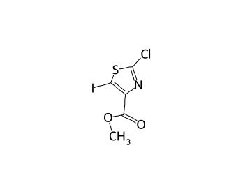 COC(=O)c1nc(Cl)sc1I